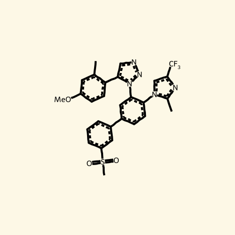 COc1ccc(-c2cnnn2-c2cc(-c3cccc(S(C)(=O)=O)c3)ccc2-n2cc(C(F)(F)F)nc2C)c(C)c1